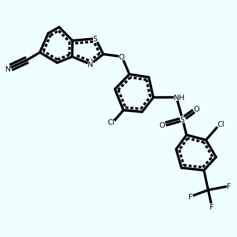 N#Cc1ccc2sc(Oc3cc(Cl)cc(NS(=O)(=O)c4ccc(C(F)(F)F)cc4Cl)c3)nc2c1